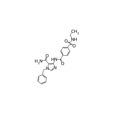 CCNS(=O)(=O)c1ccc(C(=O)Nc2ncn(Cc3ccccc3)c2C(N)=O)cc1